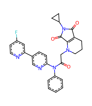 O=C(CN1CCCC2=C1C(=O)N(C1CC1)C2=O)N(c1ccccc1)c1ccc(-c2cc(F)ccn2)cn1